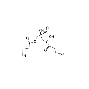 CC(COC(=O)CCS)(COC(=O)CCS)C(=O)O